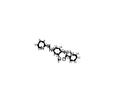 COc1cc(/N=N/c2ccccn2)ccc1NC(=O)c1ccccn1